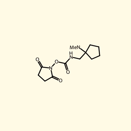 CNC1(CNC(=O)ON2C(=O)CCC2=O)CCCC1